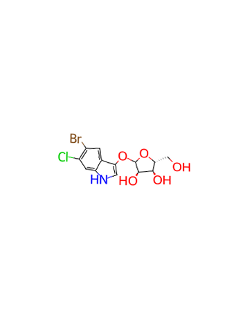 OC[C@H]1OC(Oc2c[nH]c3cc(Cl)c(Br)cc23)[C@H](O)[C@@H]1O